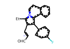 CCc1c(/C=C/C=O)c(-c2ccc(F)cc2)c2c3ccccc3ccn12